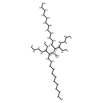 CCCCCCCCCCCCC(C(CC)CCCC)[S+]([O-])C(CCCCCCCCCCCC)C(CC)CCCC